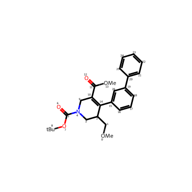 COCC1CN(C(=O)OC(C)(C)C)CC(C(=O)OC)=C1c1cccc(-c2ccccc2)c1